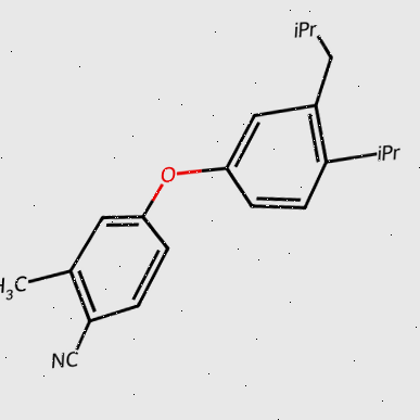 Cc1cc(Oc2ccc(C(C)C)c(CC(C)C)c2)ccc1C#N